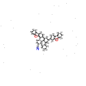 N#Cc1ccccc1-c1ccccc1-c1cc(-c2ccc3c(c2)oc2ccccc23)cc(-c2ccc3c(c2)oc2ccccc23)c1